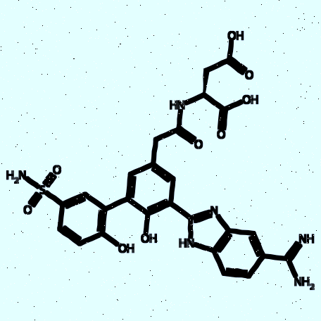 N=C(N)c1ccc2[nH]c(-c3cc(CC(=O)N[C@@H](CC(=O)O)C(=O)O)cc(-c4cc(S(N)(=O)=O)ccc4O)c3O)nc2c1